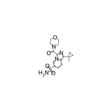 CC1(c2nc(C(=O)N3CCOCC3)n3cc(S(N)(=O)=O)ccc23)CC1